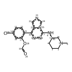 CN1CCC[C@@H](Nc2nnc(-c3ccc(Cl)cc3OC=O)c3cncn23)C1